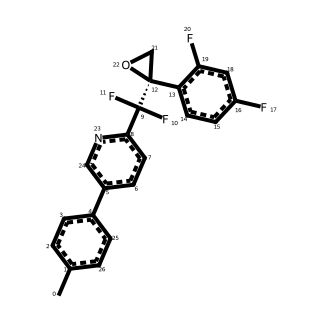 Cc1ccc(-c2ccc(C(F)(F)[C@@]3(c4ccc(F)cc4F)CO3)nc2)cc1